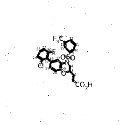 O=C(O)CCC1CN(S(=O)(=O)c2cccc(C(F)(F)F)c2)c2cc(-c3c(F)cccc3Cl)ccc2O1